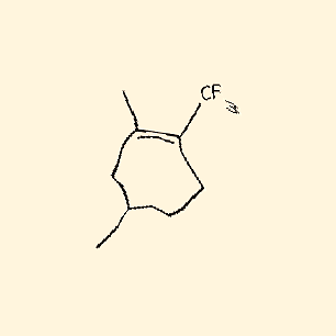 CC1=C(C(F)(F)F)CCC(C)C1